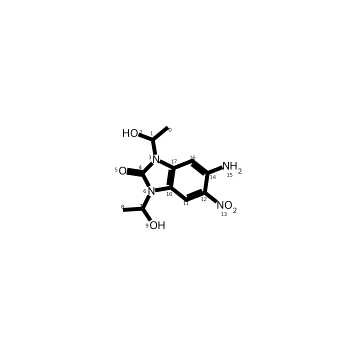 CC(O)n1c(=O)n(C(C)O)c2cc([N+](=O)[O-])c(N)cc21